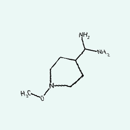 CON1CCC(C(N)N)CC1